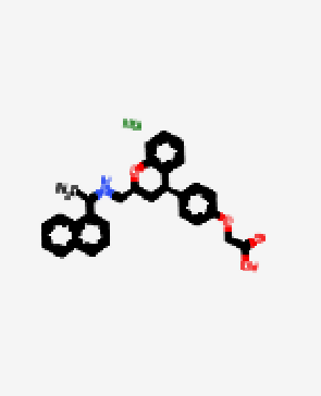 C[C@@H](NC[C@@H]1C[C@H](c2ccc(OCC(=O)O)cc2)c2ccccc2O1)c1cccc2ccccc12.Cl